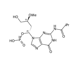 CO[C@H](CO)C[C@@H](O[PH](=O)O)n1cnc2c(=O)[nH]c(NC(=O)C(C)C)nc21